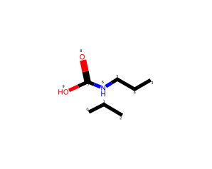 CCC.CCCNC(=O)O